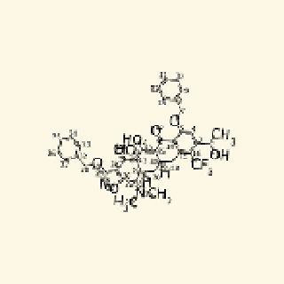 CC(O)c1cc(OCc2ccccc2)c2c(c1C(F)(F)F)C[C@H]1C[C@H]3[C@H](N(C)C)c4onc(OCc5ccccc5)c4C(=O)[C@@]3(O)C(O)=C1C2=O